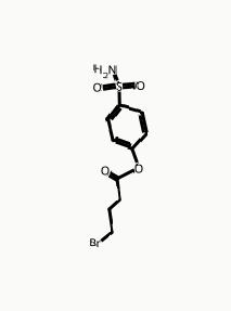 NS(=O)(=O)c1ccc(OC(=O)CCCBr)cc1